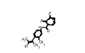 CC/C(C)=C(\C)c1ccc(NC(=O)c2cccc(F)c2F)cc1C(F)(F)F